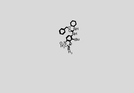 C[SiH](C)Oc1c([N+](=O)[O-])ccc(NC(=O)N[C@@H]2CCCC[C@H]2OCc2ccccc2)c1C(C)(C)C